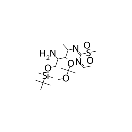 C/C=N\C(=N/C(C)[C@H](OC(C)(C)OC)C(N)CO[Si](C)(C)C(C)(C)C)S(C)(=O)=O